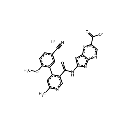 COc1ccc(C#N)cc1-c1cc(C)ncc1C(=O)Nc1nc2ncc(C(=O)[O-])nc2s1.[Li+]